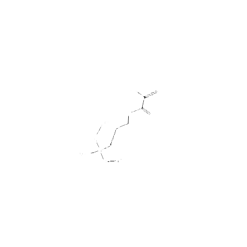 C=C(C)C(=O)OCCC[Si](OC)(OCCC)OCCC